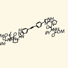 COC(=O)N[C@H](C(=O)N1CCC[C@H]1c1nc(-c2ccc(C#Cc3ccc4[nH]c([C@@H]5CCCN5C(=O)[C@@H](NC(=O)OC)[C@@H](C)OC)nc4c3)cc2)c[nH]1)C(C)C